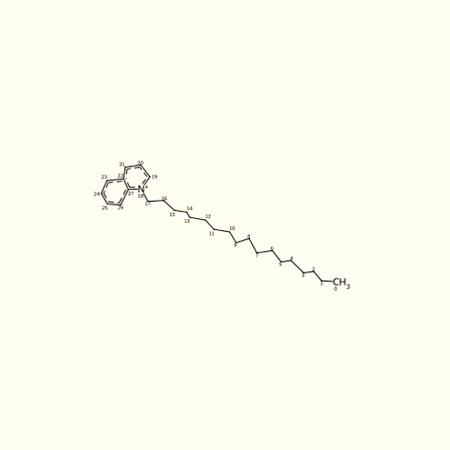 CCCCCCCCCCCCCCCCCC[n+]1cccc2ccccc21